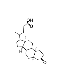 CC(CCC(=O)O)C1CC[C@H]2C3CC[C@@H]4CC(=O)CC[C@]4(C)C3CC[C@]12C